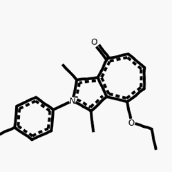 CCOc1cccc(=O)c2c(C)n(-c3ccc(C)cc3)c(C)c12